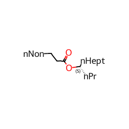 CCCCCCCCCCCC(=O)O[C@@H](CCC)CCCCCCC